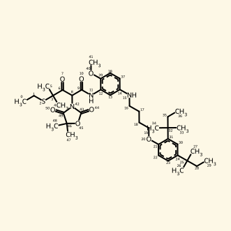 CCSC(C)(C)C(=O)C(C(=O)Nc1cc(NCCCCOc2ccc(C(C)(C)CC)cc2C(C)(C)CC)ccc1OC)N1C(=O)OC(C)(C)C1=O